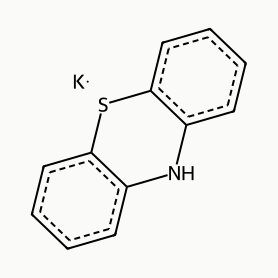 [K].c1ccc2c(c1)Nc1ccccc1S2